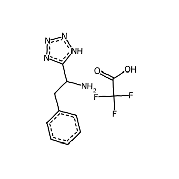 NC(Cc1ccccc1)c1nnn[nH]1.O=C(O)C(F)(F)F